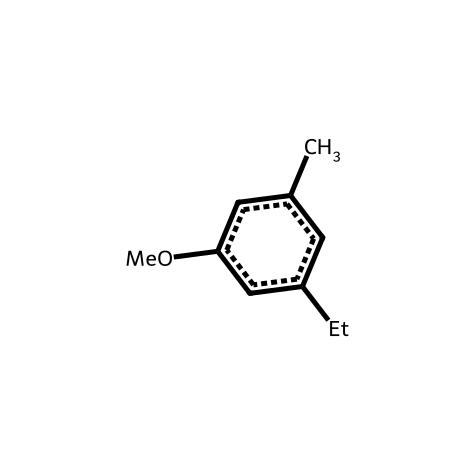 [CH2-][OH+]c1cc(C)cc(CC)c1